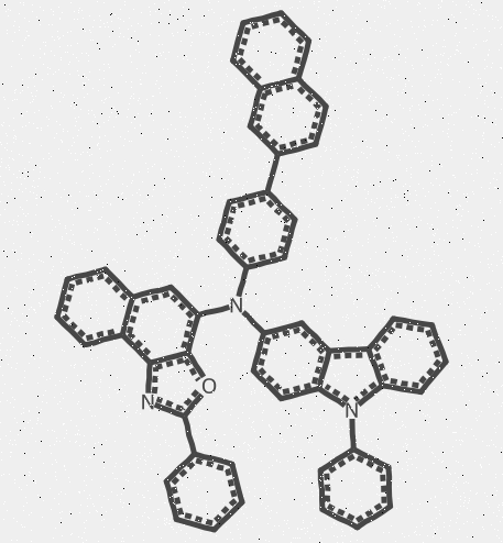 c1ccc(-c2nc3c(o2)c(N(c2ccc(-c4ccc5ccccc5c4)cc2)c2ccc4c(c2)c2ccccc2n4-c2ccccc2)cc2ccccc23)cc1